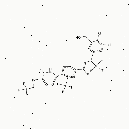 CC(NC(=O)c1ccc(/C(F)=C/C(c2cc(Cl)c(Cl)c(CO)c2)C(F)(F)F)cc1C(F)(F)F)C(=O)NCC(F)(F)F